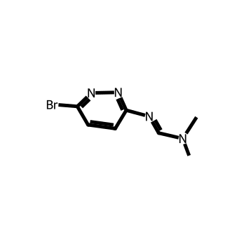 CN(C)C=Nc1ccc(Br)nn1